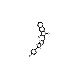 O=C1C(=Cc2cc3oc(-c4ccc(F)cc4)nc3o2)C(=O)c2cc3ccccc3cc21